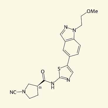 COCCn1ncc2cc(-c3cnc(NC(=O)[C@H]4CCN(C#N)C4)s3)ccc21